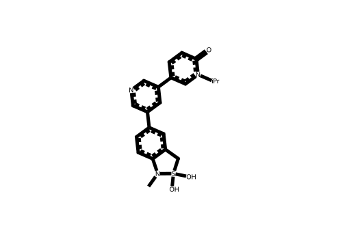 CC(C)n1cc(-c2cncc(-c3ccc4c(c3)CS(O)(O)N4C)c2)ccc1=O